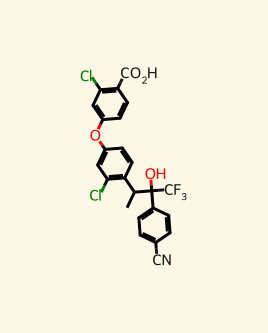 CC(c1ccc(Oc2ccc(C(=O)O)c(Cl)c2)cc1Cl)C(O)(c1ccc(C#N)cc1)C(F)(F)F